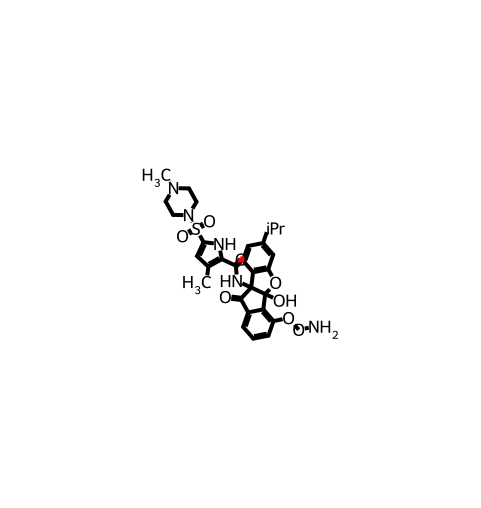 Cc1cc(S(=O)(=O)N2CCN(C)CC2)[nH]c1C(=O)NC12C(=O)c3cccc(OON)c3C1(O)Oc1cc(C(C)C)ccc12